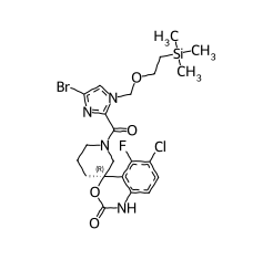 C[Si](C)(C)CCOCn1cc(Br)nc1C(=O)N1CCC[C@@]2(C1)OC(=O)Nc1ccc(Cl)c(F)c12